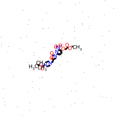 CCOC(=O)COc1ccc(N2CC(CN3CCN(C(=O)OC(C)(C)C)CC3)OC2=O)nc1[N+](=O)[O-]